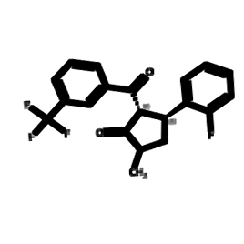 CC1C[C@H](c2ccccc2F)[C@@H](C(=O)c2cccc(C(F)(F)F)c2)C1=O